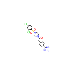 N=C(N)c1ccc(CC(=O)N2CCN(S(=O)(=O)c3ccc(Cl)cc3Cl)CC2)cc1